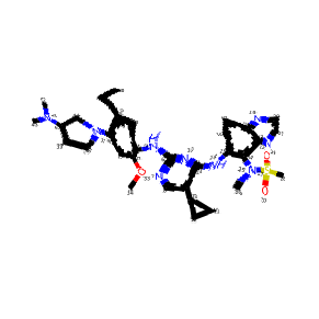 CCc1cc(Nc2ncc(C3CC3)c(Nc3ccc4nccnc4c3N(C)S(C)(=O)=O)n2)c(OC)cc1N1CCC(N(C)C)C1